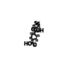 C1=CSSC1.O=C(O)c1ccc(C(=O)O)cc1